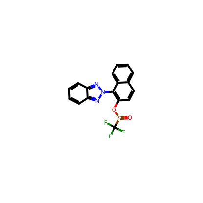 O=S(Oc1ccc2ccccc2c1-n1nc2ccccc2n1)C(F)(F)F